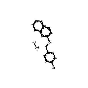 Brc1ccc(COc2ccc3ccccc3c2)cc1.CCO